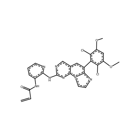 C=CC(=O)Nc1cccnc1Nc1ncc2cc(-c3c(Cl)c(OC)cc(OC)c3Cl)c3nccn3c2n1